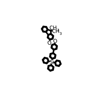 CC1(C)c2ccccc2-c2cc3c(cc21)Oc1ccc(-c2ccc([Si](c4ccccc4)(c4ccccc4)c4ccccc4)cc2)cc1O3